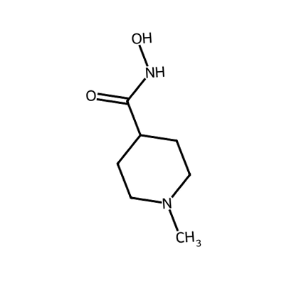 CN1CCC(C(=O)NO)CC1